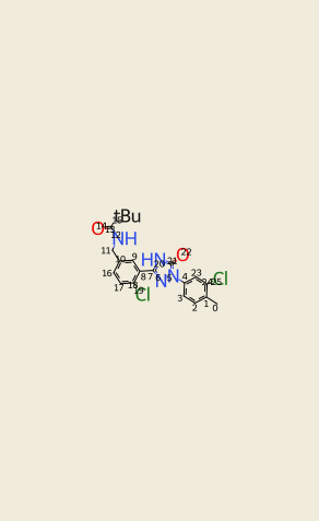 Cc1ccc(-n2nc(-c3cc(CNC(=O)C(C)(C)C)ccc3Cl)[nH]c2=O)cc1Cl